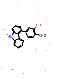 O=Cc1ccc(-c2cccc3[nH]c4ccccc4c23)cc1O